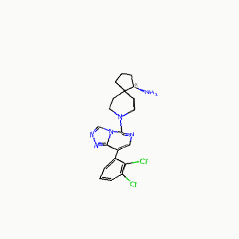 N[C@@H]1CCCC12CCN(c1ncc(-c3cccc(Cl)c3Cl)c3nncn13)CC2